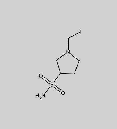 NS(=O)(=O)C1CCN(CI)C1